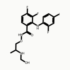 CC(CONC(=O)c1ccc(F)c(F)c1Nc1ccc(I)cc1F)NCO